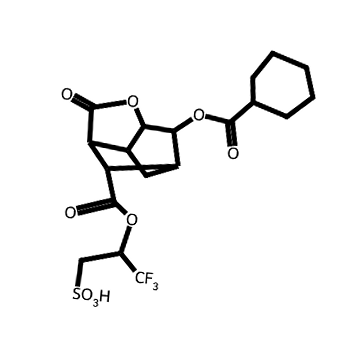 O=C(OC1C2CC3C1OC(=O)C3C2C(=O)OC(CS(=O)(=O)O)C(F)(F)F)C1CCCCC1